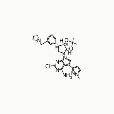 Cn1ccc(-c2cn([C@@H]3C[C@H](c4cccc(CN5CCC5)c4)[C@H]4OC(C)(C)O[C@H]43)c3nc(Cl)nc(N)c23)n1